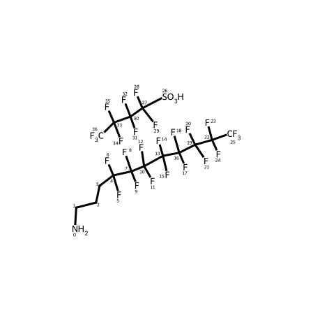 NCCCC(F)(F)C(F)(F)C(F)(F)C(F)(F)C(F)(F)C(F)(F)C(F)(F)C(F)(F)F.O=S(=O)(O)C(F)(F)C(F)(F)C(F)(F)C(F)(F)F